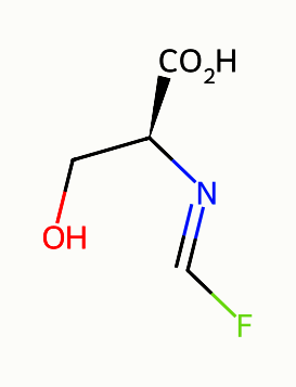 O=C(O)[C@H](CO)N=CF